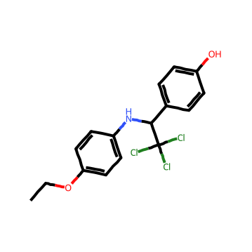 CCOc1ccc(NC(c2ccc(O)cc2)C(Cl)(Cl)Cl)cc1